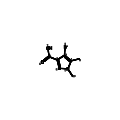 Cc1c(Br)c(C(=O)O)nn1C